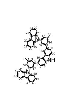 Cc1cc(-c2ccc3[nH]c4ccc(-c5cc(C)cc(-n6c7ccccc7c7ccccc76)c5)cc4c3c2)cc(-n2c3ccccc3c3ccccc32)c1